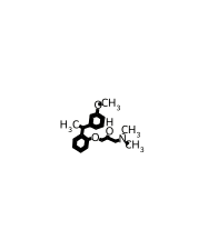 COc1cccc(C(C)c2ccccc2OCC(O)CN(C)C)c1